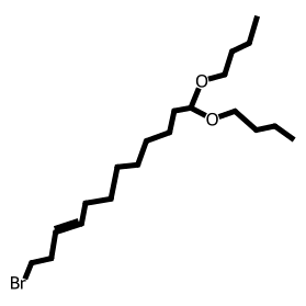 CCCCOC(CCCCCCC/C=C/CCBr)OCCCC